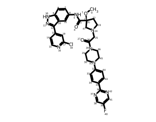 CO[C@@]1(C(=O)Nc2ccc3[nH]nc(-c4ccnc(Cl)c4)c3c2)CCN(CC(=O)N2CCN(c3ccc(-c4ncc(F)cn4)cc3)CC2)C1